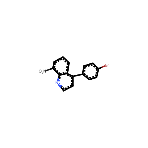 O=[N+]([O-])c1cccc2c(-c3ccc(Br)cc3)ccnc12